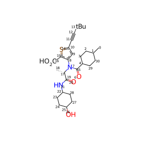 CC1CCC(C(=O)N(c2cc(C#CC(C)(C)C)sc2C(=O)O)[C@@H](C)C(=O)NC2CCC(O)CC2)CC1